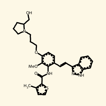 COc1c(OCCCN2CCCC2CO)ccc(C=Cc2n[nH]c3ccccc23)c1NC(=O)c1sccc1C